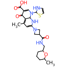 CC1=C2C(=O)C(C(=O)O)=CN(C3NC=CS3)C2NC(N2CC(C(=O)NCC3CCCC(C)O3)C2)=C1